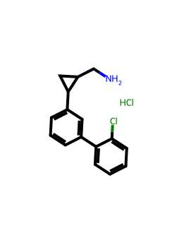 Cl.NCC1CC1c1cccc(-c2ccccc2Cl)c1